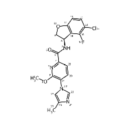 COc1nc(C(=O)NC2COc3ccc(Cl)c(F)c32)ccc1-n1cnc(C)c1